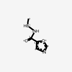 CBNC(=O)c1cnco1